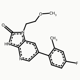 COCCn1c(=O)[nH]c2ncc(-c3ccc(F)cc3C)cc21